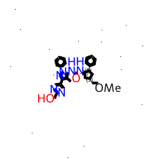 COCC[C@@H]1C[C@@H](NC(=O)Nc2c(C)c(-c3cnc(CO)nc3)nn2-c2ccccc2)[C@H](c2ccccc2)C1